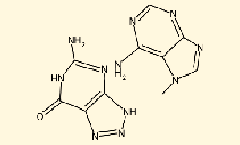 Cn1cnc2ncnc(N)c21.Nc1nc2[nH]nnc2c(=O)[nH]1